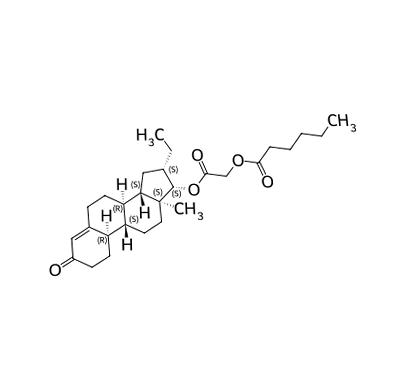 CCCCCC(=O)OCC(=O)O[C@H]1[C@@H](CC)C[C@H]2[C@@H]3CCC4=CC(=O)CC[C@@H]4[C@H]3CC[C@@]21C